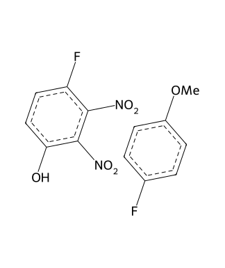 COc1ccc(F)cc1.O=[N+]([O-])c1c(O)ccc(F)c1[N+](=O)[O-]